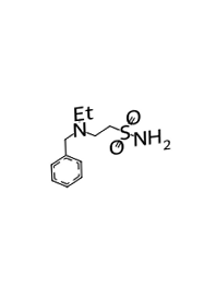 CCN(CCS(N)(=O)=O)Cc1ccccc1